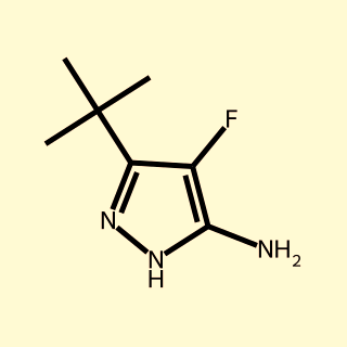 CC(C)(C)c1n[nH]c(N)c1F